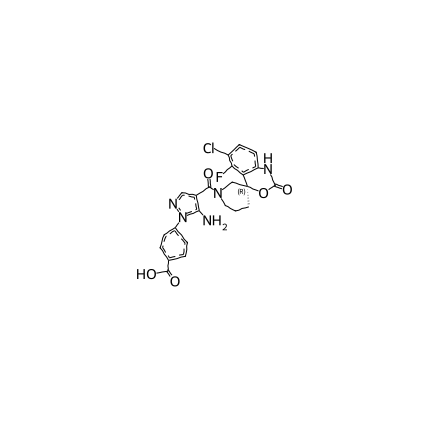 Nc1c(C(=O)N2CCC[C@@]3(C2)OC(=O)Nc2ccc(Cl)c(F)c23)cnn1-c1ccc(C(=O)O)cc1